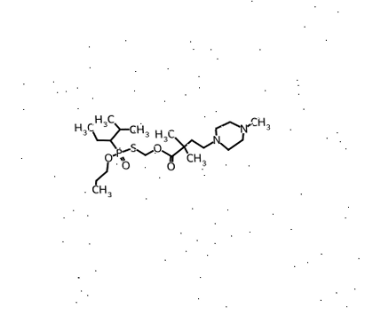 CCCOP(=O)(SCOC(=O)C(C)(C)CCN1CCN(C)CC1)C(CC)C(C)C